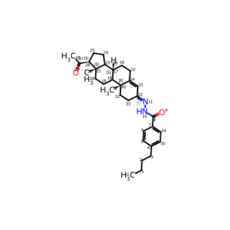 CCCCc1ccc(C(=O)N/N=C2/C=C3CC[C@@H]4C(CC[C@@]5(C)C4CC[C@@H]5C(C)=O)[C@@]3(C)CC2)cc1